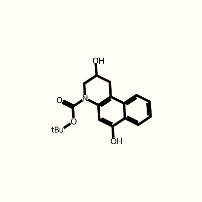 CC(C)(C)OC(=O)N1CC(O)Cc2c1cc(O)c1ccccc21